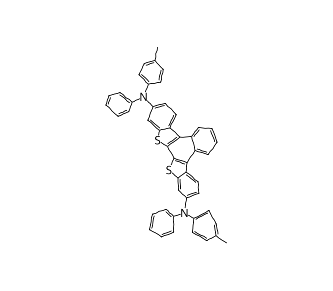 Cc1ccc(N(c2ccccc2)c2ccc3c(c2)sc2c4sc5cc(N(c6ccccc6)c6ccc(C)cc6)ccc5c4c4ccccc4c32)cc1